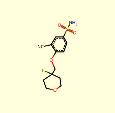 N#Cc1cc(S(N)(=O)=O)ccc1OCC1(F)CCOCC1